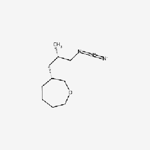 C[C@H](CN=[N+]=[N-])C[C@H]1CCCCOC1